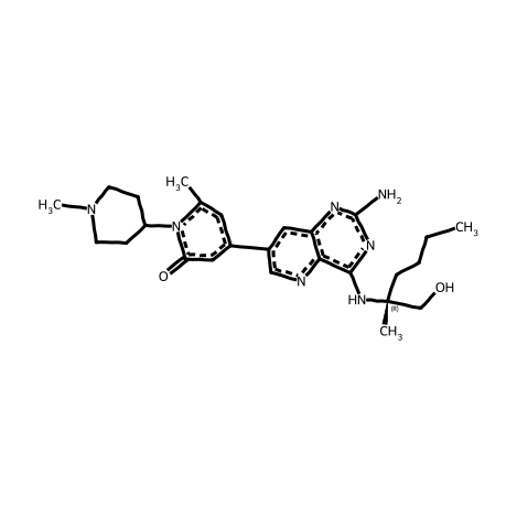 CCCC[C@](C)(CO)Nc1nc(N)nc2cc(-c3cc(C)n(C4CCN(C)CC4)c(=O)c3)cnc12